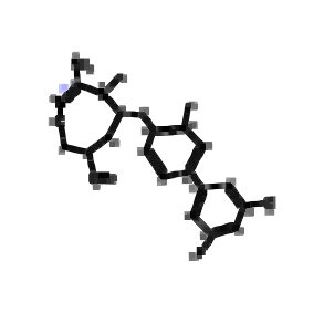 COC1CC/N=C(/N)N(C)C(Cc2ccc(-c3cc(F)cc(Cl)c3)cc2C)C1